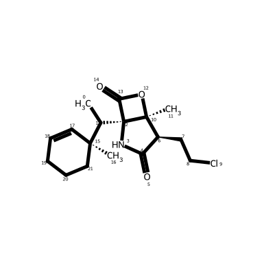 CC([C@@]12NC(=O)[C@H](CCCl)[C@]1(C)OC2=O)[C@]1(C)C=CCCC1